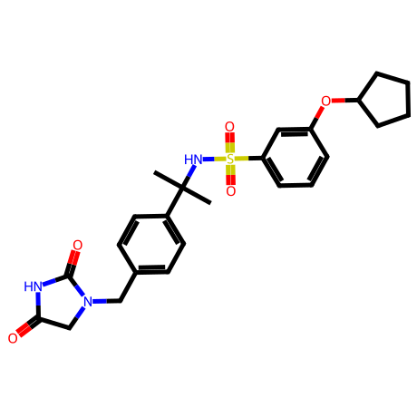 CC(C)(NS(=O)(=O)c1cccc(OC2CCCC2)c1)c1ccc(CN2CC(=O)NC2=O)cc1